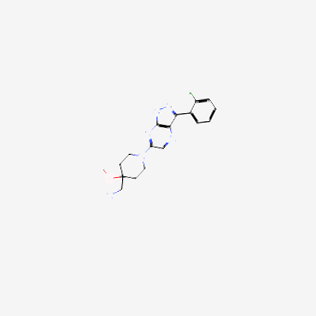 COC1(CN)CCN(c2cnc3c(-c4ccccc4Cl)n[nH]c3n2)CC1